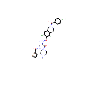 CN1CCN(C(=O)[C@H](CNC(=O)c2cccs2)NC(=O)c2c(Cl)cc3c(c2Cl)CCN(C(=O)c2ccc(Cl)cc2)C3)CC1